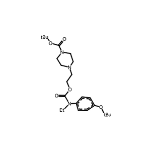 CCN(C(=O)OCCN1CCN(C(=O)OC(C)(C)C)CC1)c1ccc(OC(C)(C)C)cc1